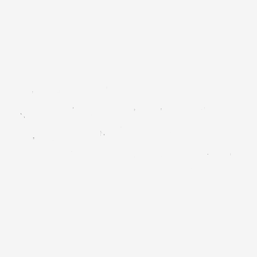 Cc1ccc(C)c(-c2ccc(NC(=O)c3ccncc3C)cc2)c1